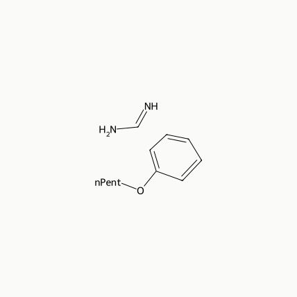 CCCCCOc1ccccc1.N=CN